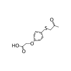 CC(=O)CSc1ccc(OCC(=O)O)cc1